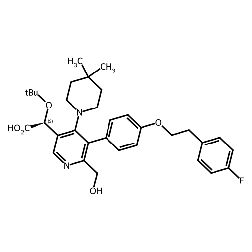 CC1(C)CCN(c2c([C@H](OC(C)(C)C)C(=O)O)cnc(CO)c2-c2ccc(OCCc3ccc(F)cc3)cc2)CC1